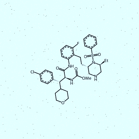 CC[C@H]1CNC[C@H](CCc2c(F)cccc2NC(=O)[C@@H](NC(=O)OC)[C@@H](c2ccc(Cl)cc2)C2CCOCC2)N1S(=O)(=O)c1ccccc1